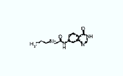 CCCNCC(=O)Nc1ccc2c(=O)[nH]cnc2c1